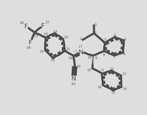 CC(C)c1ccccc1[C@@H](Cc1ccccc1)/N=C(\C#N)c1ccc(C(F)(F)F)cc1